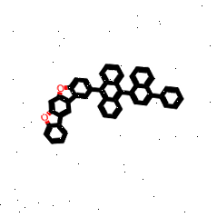 c1ccc(-c2ccc(-c3c4ccccc4c(-c4ccc5oc6cc7oc8ccccc8c7cc6c5c4)c4ccccc34)c3ccccc23)cc1